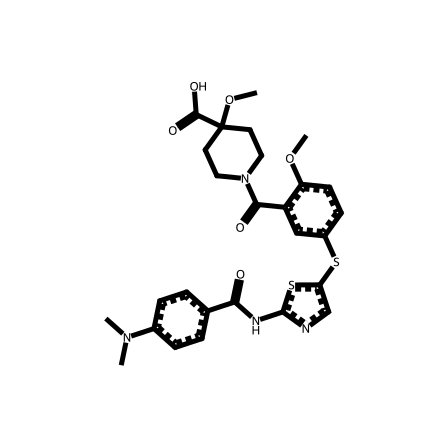 COc1ccc(Sc2cnc(NC(=O)c3ccc(N(C)C)cc3)s2)cc1C(=O)N1CCC(OC)(C(=O)O)CC1